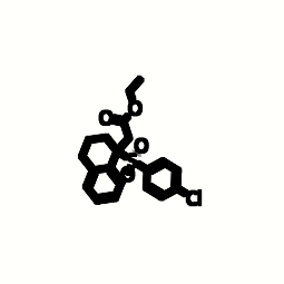 CCOC(=O)CC1(S(=O)(=O)c2ccc(Cl)cc2)CCCc2ccccc21